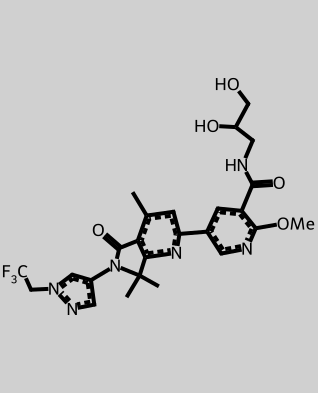 COc1ncc(-c2cc(C)c3c(n2)C(C)(C)N(c2cnn(CC(F)(F)F)c2)C3=O)cc1C(=O)NCC(O)CO